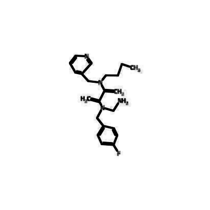 C=C(C(=C)N(CCCC)Cc1cccnc1)N(CN)Cc1ccc(F)cc1